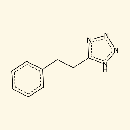 c1ccc(CCc2nnn[nH]2)cc1